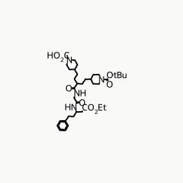 CCOC(=O)CC(CCc1ccccc1)NC(=O)CNC(=O)C(CCC1CCN(C(=O)O)CC1)CCC1CCN(C(=O)OC(C)(C)C)CC1